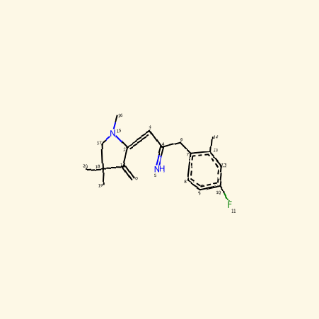 C=C1/C(=C\C(=N)Cc2ccc(F)cc2C)N(C)CC1(C)C